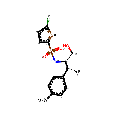 CCC[C@H](c1ccc(OC)cc1)[C@@H](CO)NS(=O)(=O)c1ccc(Cl)s1